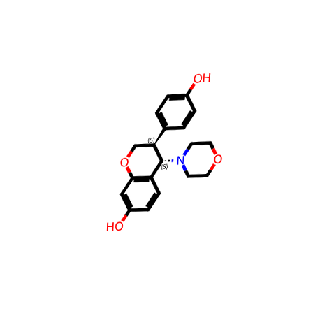 Oc1ccc([C@@H]2COc3cc(O)ccc3[C@H]2N2CCOCC2)cc1